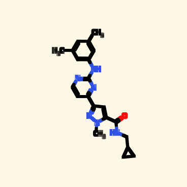 Cc1cc(C)cc(Nc2nccc(-c3cc(C(=O)NCC4CC4)n(C)n3)n2)c1